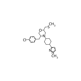 CSCC1CN(C2CCC(c3ccn(C)n3)CC2)C(Cc2ccc(Cl)cc2)CO1